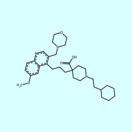 COc1ccc2ncc(CN3CCOCC3)c(CCCC3(C(=O)O)CCN(CCC4CCCCC4)CC3)c2c1